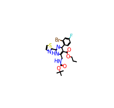 CCCOC(=O)C1=C(CNC(=O)OC(C)(C)C)NC(c2nccs2)=NC1c1ccc(F)cc1Br